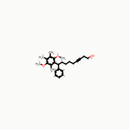 COc1c(C)c(C)c(OC)c(C(CCCCC#CCCO)c2ccccc2)c1C